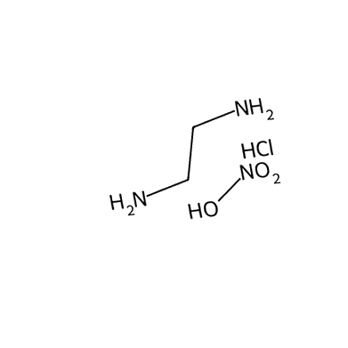 Cl.NCCN.O=[N+]([O-])O